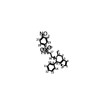 CC1Cc2ccsc2C(c2ccccc2)N1CCNS(=O)(=O)c1ccc([N+](=O)[O-])cc1